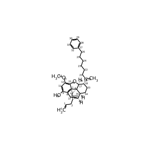 C=CCN1CC[C@]23c4c5c(O)cc(OC)c4O[C@H]2[C@H](N(C)CCCCCCc2ccccc2)CC[C@H]3[C@H]1C5